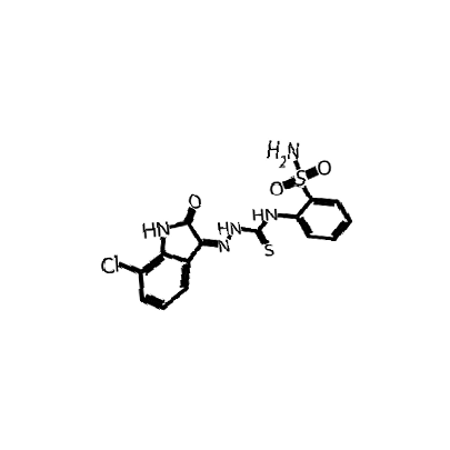 NS(=O)(=O)c1ccccc1NC(=S)NN=C1C(=O)Nc2c(Cl)cccc21